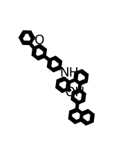 Oc1cccc(Nc2ccc(-c3ccc4c(c3)oc3ccccc34)cc2)c1-c1ccccc1-c1ccc(-c2cccc3ccccc23)cc1